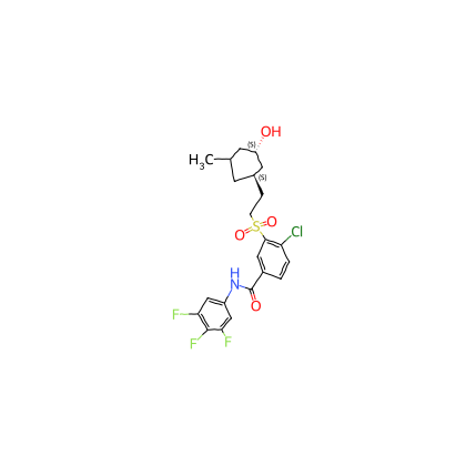 CC1C[C@H](O)C[C@@H](CCS(=O)(=O)c2cc(C(=O)Nc3cc(F)c(F)c(F)c3)ccc2Cl)C1